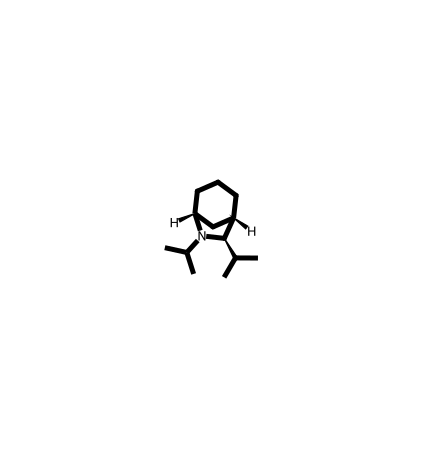 CC(C)[C@@H]1[C@H]2CCC[C@H](C2)N1C(C)C